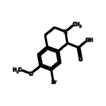 COc1cc2c(cc1Br)C(C(=O)O)N(C)CC2